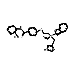 Nc1ccccc1NC(=O)c1ccc(OCC[N+](C=O)(Cc2c[nH]cn2)c2cc3ccccc3o2)cc1